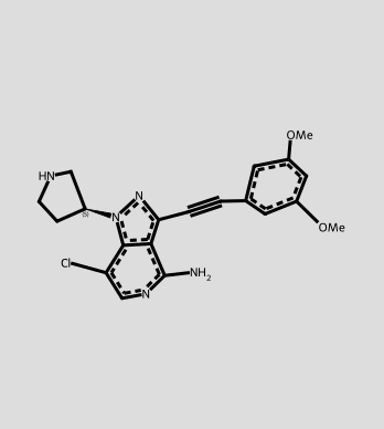 COc1cc(C#Cc2nn([C@H]3CCNC3)c3c(Cl)cnc(N)c23)cc(OC)c1